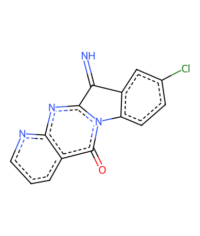 N=C1c2cc(Cl)ccc2-n2c1nc1ncccc1c2=O